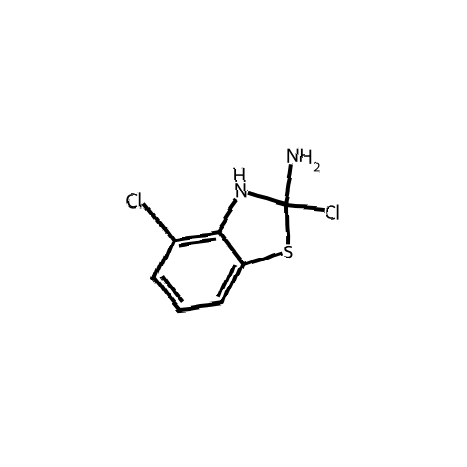 NC1(Cl)Nc2c(Cl)cccc2S1